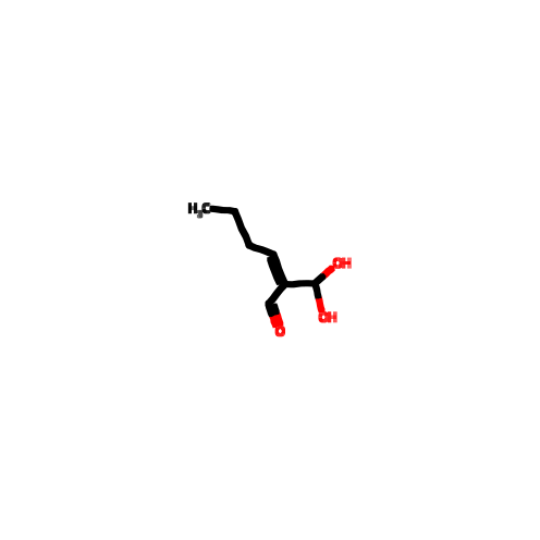 CCCC=C(C=O)C(O)O